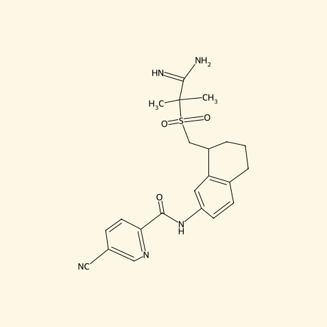 CC(C)(C(=N)N)S(=O)(=O)CC1CCCc2ccc(NC(=O)c3ccc(C#N)cn3)cc21